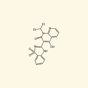 CCC(CC)n1c(=O)c(C2=NS(=O)(=O)c3ccccc3N2)c(O)c2cccnc21